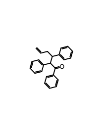 C=CCC(c1ccccc1)C(C(=O)c1ccccc1)c1ccccc1